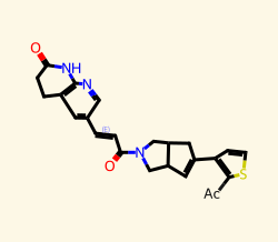 CC(=O)c1sccc1C1=CC2CN(C(=O)/C=C/c3cnc4c(c3)CCC(=O)N4)CC2C1